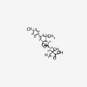 Cc1cc(-c2ccc(Cl)cc2)cc(C)c1CC(=O)CCC(C)(C)C(=O)O